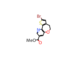 COC(=O)c1cnc2c(c1)OCCc1cc(Br)sc1-2